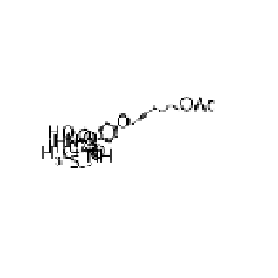 CC(=O)OCCCCC#CCOc1ccc(S(=O)(=O)[C@]2(C(=O)NO)NCCSC2(C)C)cc1